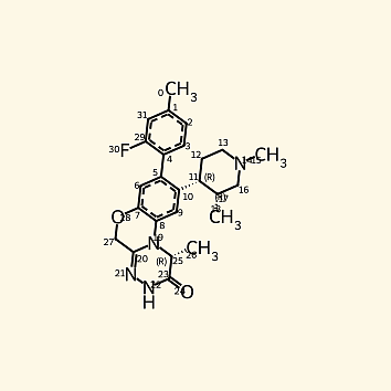 Cc1ccc(-c2cc3c(cc2[C@@H]2CCN(C)C[C@@H]2C)N2C(=NNC(=O)[C@H]2C)CO3)c(F)c1